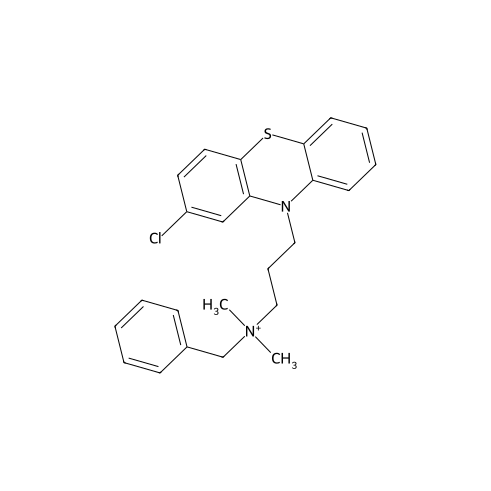 C[N+](C)(CCCN1c2ccccc2Sc2ccc(Cl)cc21)Cc1ccccc1